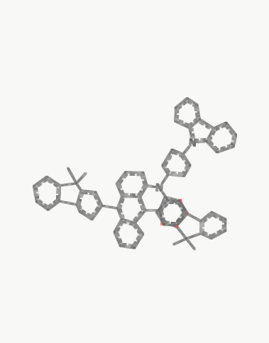 CC1(C)c2ccccc2-c2ccc(-c3c4ccccc4c(-c4ccc5c(c4)C(C)(C)c4ccccc4-5)c4c(N(c5ccccc5)c5ccc(-n6c7ccccc7c7ccccc76)cc5)cccc34)cc21